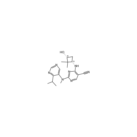 CC(C)c1ncncc1N(C)c1ncc(C#N)c(N[C@H]2C[C@@H](O)C2(C)C)n1